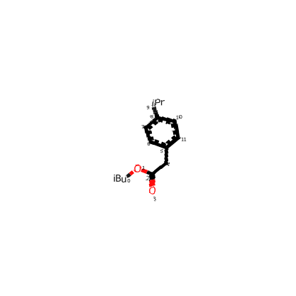 CCC(C)OC(=O)Cc1ccc(C(C)C)cc1